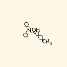 Cc1ccc(OCC(O)CN(Cc2ccccc2)Cc2ccccc2)cc1